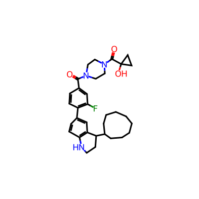 O=C(c1ccc(-c2ccc3c(c2)C(C2CCCCCCCC2)CCN3)c(F)c1)N1CCN(C(=O)C2(O)CC2)CC1